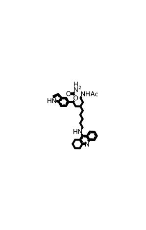 CC(=O)NCCC(CCCCCNc1c2c(nc3ccccc13)CCCC2)CC(OC(N)=O)c1ccc2[nH]ccc2c1